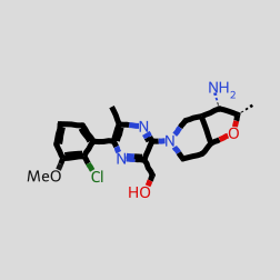 COc1cccc(-c2nc(CO)c(N3CCC4O[C@@H](C)[C@@H](N)C4C3)nc2C)c1Cl